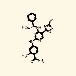 Cc1cc(Nc2ncc(-c3nc(C(C)C)no3)c(N[C@H](CO)c3ccccc3)n2)ccc1C(N)=O